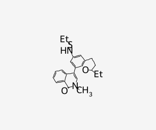 CCSNc1cc2c(c(-c3cn(C)c(=O)c4ccccc34)c1)OC(CC)CC2